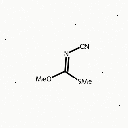 COC(=NC#N)SC